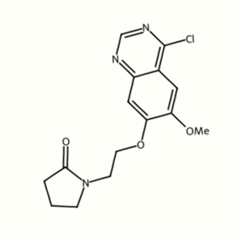 COc1cc2c(Cl)ncnc2cc1OCCN1CCCC1=O